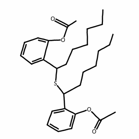 CCCCCCC(SC(CCCCCC)c1ccccc1OC(C)=O)c1ccccc1OC(C)=O